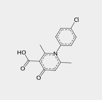 Cc1cc(=O)c(C(=O)O)c(C)n1-c1ccc(Cl)cc1